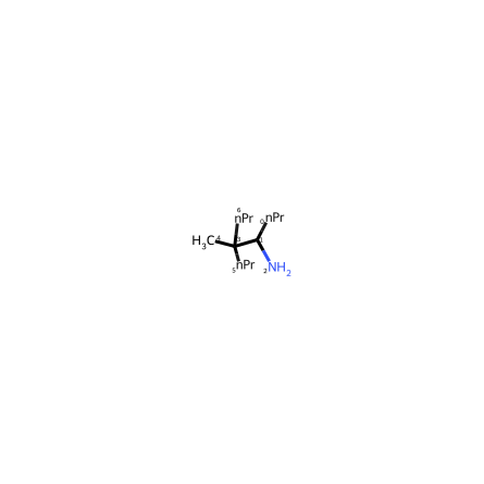 CCCC(N)C(C)(CCC)CCC